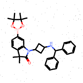 CC1(C)C(=O)N(C2CC(NC(c3ccccc3)c3ccccc3)C2)c2cc(B3OC(C)(C)C(C)(C)O3)ccc21